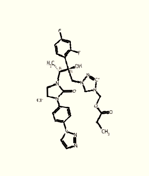 CCC(=O)OCN1[C+]=NN(C[C@@](O)(c2ccc(F)cc2F)[C@@H](C)N2CCN(c3ccc(-n4ccnn4)cc3)C2=O)C1.[Cl-]